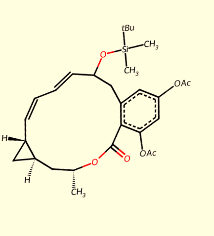 CC(=O)Oc1cc2c(c(OC(C)=O)c1)C(=O)O[C@H](C)C[C@H]1C[C@@H]1/C=C\C=C\C(O[Si](C)(C)C(C)(C)C)C2